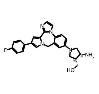 N[C@@H]1CN(c2ccc3c(c2)Cn2cc(-c4ccc(F)cc4)cc2-c2nccn2-3)C[C@H]1CO